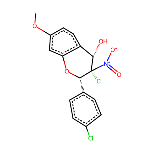 COc1ccc2c(c1)O[C@@H](c1ccc(Cl)cc1)[C@](Cl)([N+](=O)[O-])[C@H]2O